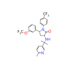 Cc1ccc(C(C)(C)NC2CC(c3cccc(OC(F)(F)F)c3)N(c3ccc(C(F)(F)F)cc3)C2=O)cn1